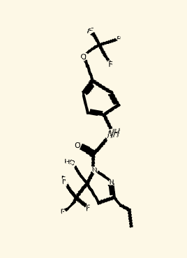 CCC1=NN(C(=O)Nc2ccc(OC(F)(F)F)cc2)C(O)(C(F)(F)F)C1